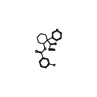 CNC(=S)C1(c2cccnc2)CCCCC1OC(=O)c1cccc(F)c1